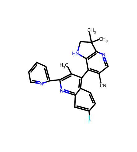 Cc1c(-c2ccccn2)nc2cc(F)ccc2c1-c1c(C#N)cnc2c1NCC2(C)C